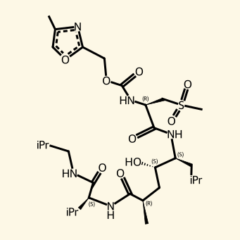 Cc1coc(COC(=O)N[C@@H](CS(C)(=O)=O)C(=O)N[C@@H](CC(C)C)[C@@H](O)C[C@@H](C)C(=O)N[C@H](C(=O)NCC(C)C)C(C)C)n1